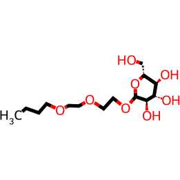 CCCCOCCOCCOC1O[C@H](CO)[C@@H](O)[C@H](O)[C@H]1O